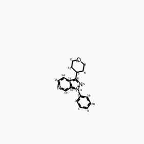 c1ccc(-n2nc(C3CCOCC3)c3ccncc32)cc1